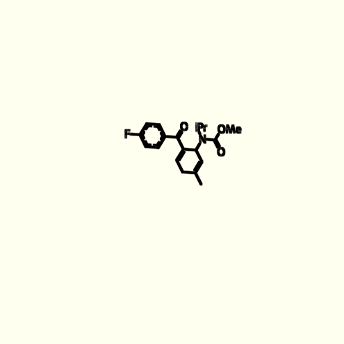 COC(=O)N(C(C)C)C1C=C(C)CC=C1C(=O)c1ccc(F)cc1